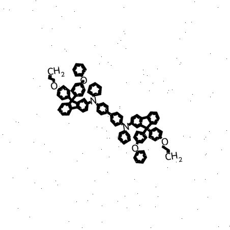 C=CCOc1ccc(C2(c3ccc(Oc4ccccc4)cc3)c3ccccc3-c3ccc(N(c4ccccc4)c4ccc(-c5ccc(N(c6ccccc6)c6ccc7c(c6)C(c6ccc(OCC=C)cc6)(c6ccc(Oc8ccccc8)cc6)c6ccccc6-7)cc5)cc4)cc32)cc1